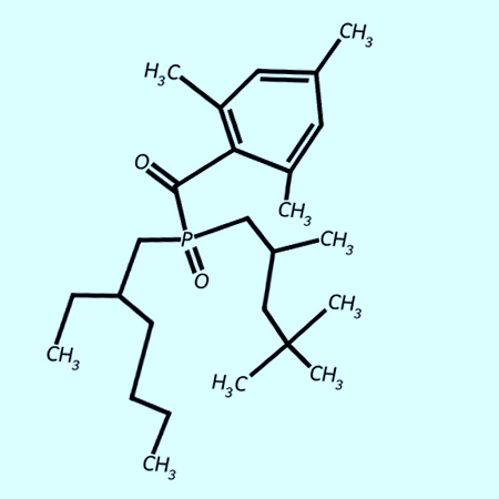 CCCCC(CC)CP(=O)(CC(C)CC(C)(C)C)C(=O)c1c(C)cc(C)cc1C